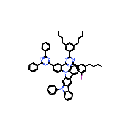 CCCCc1cc(I)cc(-c2nc(-c3cc(CCCC)cc(CCCC)c3)nc(-c3cc(-c4nc(-c5ccccc5)nc(-c5ccccc5)n4)ccc3-n3c4ccccc4c4cc5c6ccccc6n(-c6ccccc6)c5cc43)n2)c1